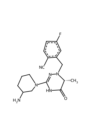 C[C@@H]1C(=O)NC(N2CCCC(N)C2)=NN1Cc1cc(F)ccc1C#N